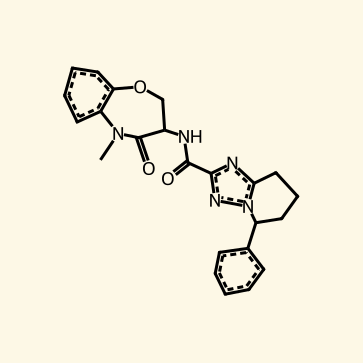 CN1C(=O)C(NC(=O)c2nc3n(n2)C(c2ccccc2)CCC3)COc2ccccc21